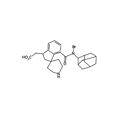 O=C(O)CC1CC2(CCNCC2)c2c(C(=O)N(Br)C3C4CC5CC(C4)CC3C5)cccc21